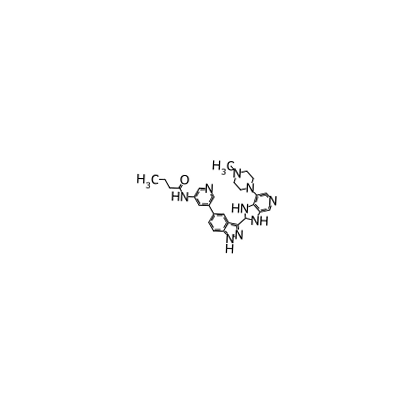 CCCC(=O)Nc1cncc(-c2ccc3[nH]nc(C4Nc5cncc(N6CCN(C)CC6)c5N4)c3c2)c1